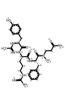 CC(=N)N[C@@H](Cc1ccc(O)cc1)C(=O)N[C@H](CCCNC(=N)N)C(=O)N[C@@H](Cc1ccccc1)C(=O)N(C)CCC(N)=O